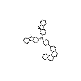 c1ccc2c(c1)ccc1ccc3ccc(-c4ccc(N(c5ccc6c(c5)sc5ccccc56)c5ccc6c(c5)sc5ccccc56)cc4)cc3c12